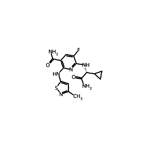 Cc1cc(Nc2nc(N[C@@H](C(N)=O)C3CC3)c(F)cc2C(N)=O)sn1